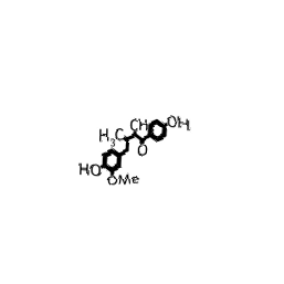 COc1cc(CC(C)C(C)C(=O)c2ccc(O)cc2)ccc1O